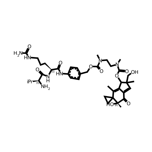 CC1=C2C(=CC(C)(CO)C2OC(=O)N(C)CCN(C)C(=O)OCc2ccc(NC(=O)[C@H](CCCNC(N)=O)NC(=O)[C@@H](N)C(C)C)cc2)C(=O)[C@](C)(O)C12CC2